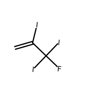 C=C(I)C(F)(I)I